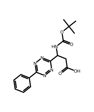 CC(C)(C)OC(=O)NC(CC(=O)O)c1nnc(-c2ccccc2)nn1